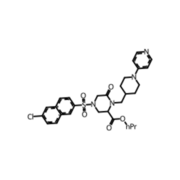 CCCOC(=O)C1CN(S(=O)(=O)c2ccc3cc(Cl)ccc3c2)CC(=O)N1CC1CCN(c2ccncc2)CC1